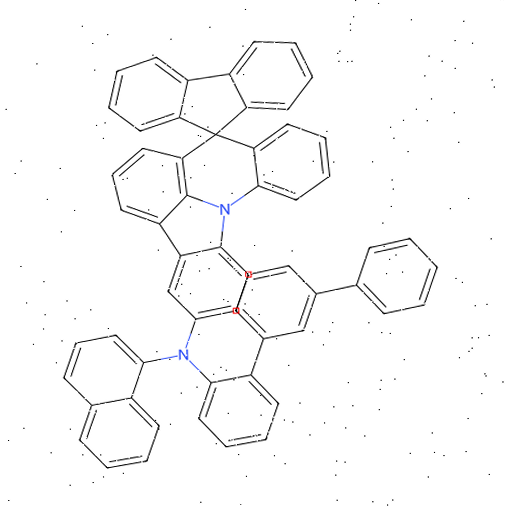 c1ccc(-c2cccc(-c3ccccc3N(c3ccc4c(c3)c3cccc5c3n4-c3ccccc3C53c4ccccc4-c4ccccc43)c3cccc4ccccc34)c2)cc1